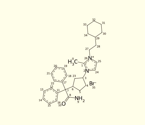 Cc1n(C2CCC(C(C(N)=O)(c3ccccc3)c3ccccc3)C2)cc[n+]1CCC1CCCCC1.[Br-]